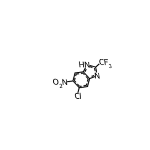 O=[N+]([O-])c1cc2[nH]c(C(F)(F)F)nc2cc1Cl